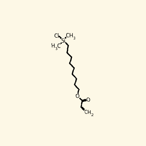 C=CC(=O)OCCCCCCCCC[Si](C)(C)Cl